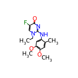 CCn1cc(F)c(=O)nc1Nc1cc(OC)c(OC)cc1C